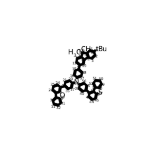 CC(C)(C)c1ccc2c(c1)C(C)(C)c1ccc(-c3ccc(N(c4ccc(-c5cccc6c5oc5ccccc56)cc4)c4ccc(-c5cccc6sc7ccccc7c56)cc4)cc3)cc1-2